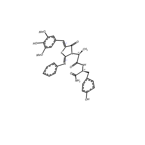 COc1cc(/C=C2\S/C(=N\c3ccccc3)N([C@@H](C)C(=O)N[C@@H](Cc3ccc(O)cc3)C(N)=O)C2=O)cc(OC)c1O